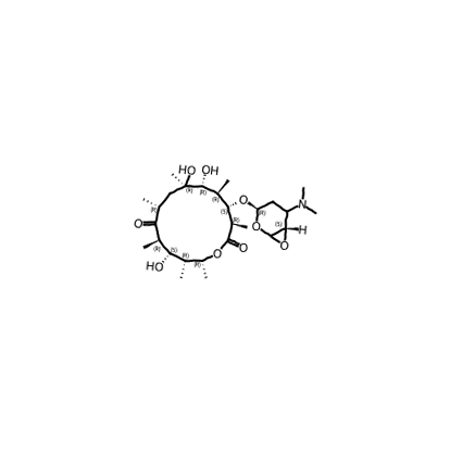 C[C@@H]1[C@H](O)[C@@H](C)C(=O)[C@H](C)C[C@@](C)(O)[C@H](O)[C@@H](C)[C@H](O[C@H]2CC(N(C)C)[C@@H]3OC3O2)[C@@H](C)C(=O)O[C@@H]1C